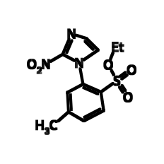 CCOS(=O)(=O)c1ccc(C)cc1-n1ccnc1[N+](=O)[O-]